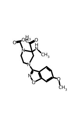 CNC1(C(C)=O)CN(c2noc3cc(OC)ccc23)CCN1C(=O)O